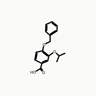 CC(C)Oc1cc(C(=O)O)ccc1OCc1ccccc1